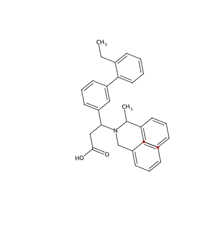 CCc1ccccc1-c1cccc(C(CC(=O)O)N(Cc2ccccc2)C(C)c2ccccc2)c1